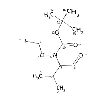 CC(C)C([C]=O)N(OCI)C(=O)OC(C)(C)C